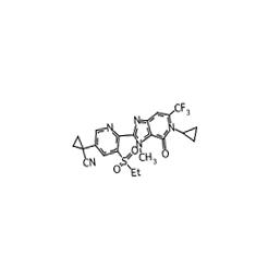 CCS(=O)(=O)c1cc(C2(C#N)CC2)cnc1-c1nc2cc(C(F)(F)F)n(C3CC3)c(=O)c2n1C